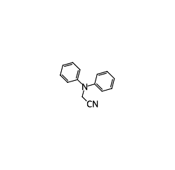 N#CCN(c1ccccc1)c1ccccc1